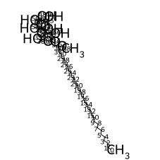 CCCCCCCCCCCCCCCCCCCCCCCCCCCCCCCCC(CO[C@@H]1OC(CO)[C@@H](O[C@@H]2OC(CO)[C@H](O)[C@H](O)C2O)[C@H](O)C1O)OC